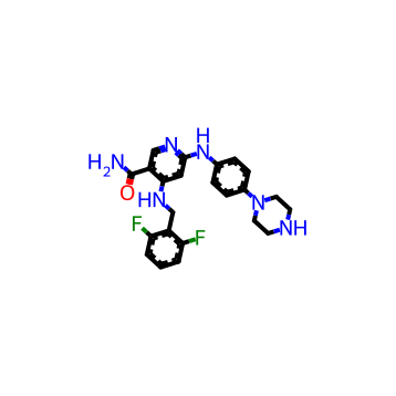 NC(=O)c1cnc(Nc2ccc(N3CCNCC3)cc2)cc1NCc1c(F)cccc1F